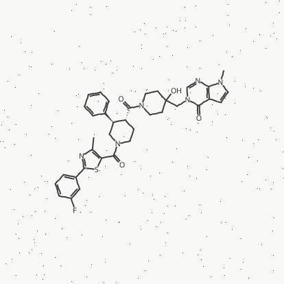 Cc1nc(-c2cccc(F)c2)sc1C(=O)N1CC[C@@H](C(=O)N2CCC(O)(Cn3cnc4c(ccn4C)c3=O)CC2)[C@H](c2ccccc2)C1